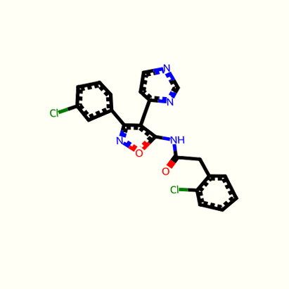 O=C(Cc1ccccc1Cl)Nc1onc(-c2cccc(Cl)c2)c1-c1ccncn1